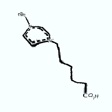 CCCCn1cc[n+](CCCCCC(=O)O)c1